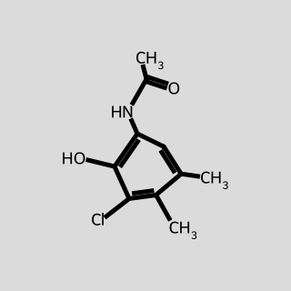 CC(=O)Nc1cc(C)c(C)c(Cl)c1O